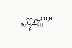 CCC(C)C(C(=O)O)N(F)C1CC(C(=O)O)N1